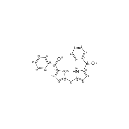 O=C(c1ccccc1)c1ccc(Cc2ccc(C(=O)c3ccccc3)s2)[nH]1